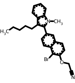 CCCCCc1c(-c2ccc3c(Br)c(OCC#N)ccc3c2)n(C)c2ccccc12